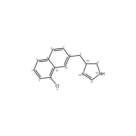 Clc1cccc2ccc(CC3CNC=N3)cc12